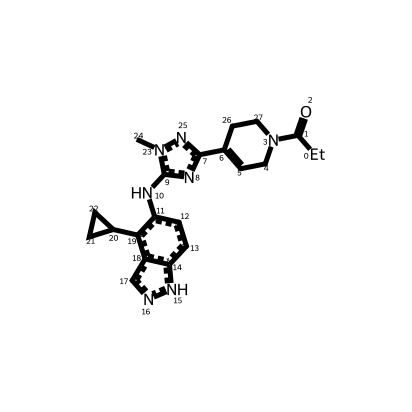 CCC(=O)N1CC=C(c2nc(Nc3ccc4[nH]ncc4c3C3CC3)n(C)n2)CC1